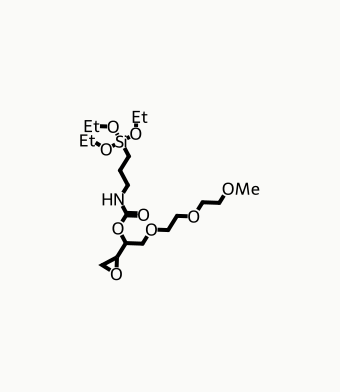 CCO[Si](CCCNC(=O)OC(COCCOCCOC)C1CO1)(OCC)OCC